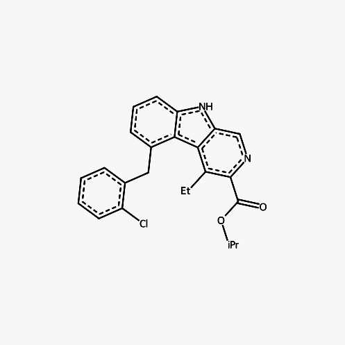 CCc1c(C(=O)OC(C)C)ncc2[nH]c3cccc(Cc4ccccc4Cl)c3c12